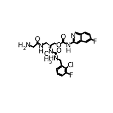 CN(C(=O)NCc1cccc(F)c1Cl)[C@@H](CNC(=O)CN)COC(=O)Nc1cc2cc(F)ccc2cn1